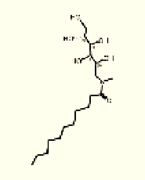 CCCCCCCCCCC(=O)N(C)C[C@H](O)[C@@H](O)[C@H](O)[C@H](O)CO